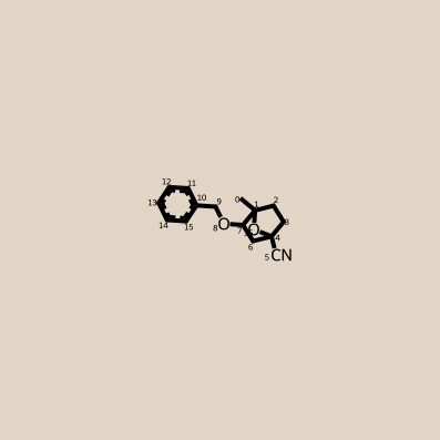 CC12CCC(C#N)(CC1OCc1ccccc1)O2